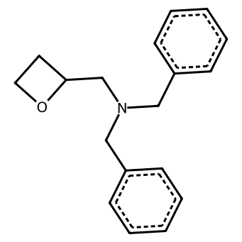 c1ccc(CN(Cc2ccccc2)CC2CCO2)cc1